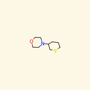 C1CSCC(N2CCOCC2)C1